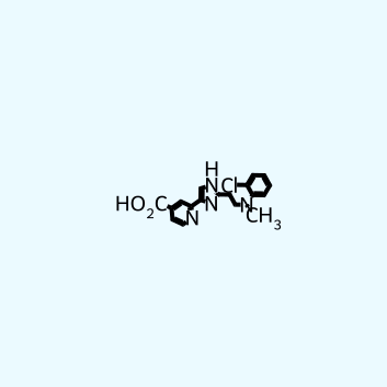 CN(CCc1nc(-c2cc(C(=O)O)ccn2)c[nH]1)c1ccccc1Cl